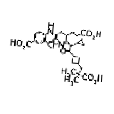 CC(C)(C[C@H]1C[C@@H](c2onc(C(CCC(=O)O)CC(=O)Nc3ccc(C(=O)O)cc3Cl)c2C2CC2)C1)C(=O)O